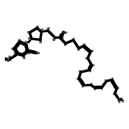 CC/C=C\C/C=C\C/C=C\C/C=C\C/C=C\CCCC(=O)OC[C@@H]1CC[C@@H](n2ccc(N)nc2=O)O1